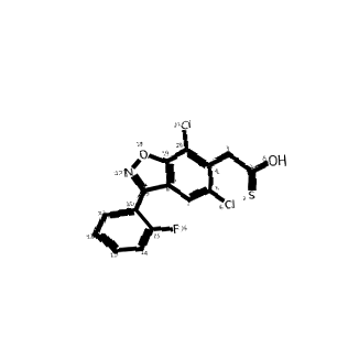 OC(=S)Cc1c(Cl)cc2c(-c3ccccc3F)noc2c1Cl